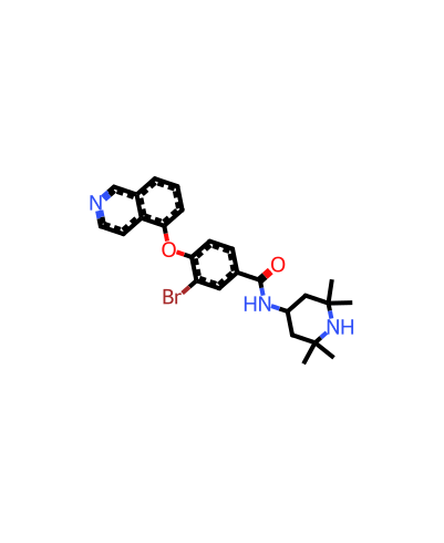 CC1(C)CC(NC(=O)c2ccc(Oc3cccc4cnccc34)c(Br)c2)CC(C)(C)N1